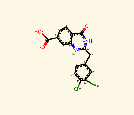 O=C(O)c1ccc2c(=O)[nH]c(Cc3ccc(Cl)c(F)c3)nc2c1